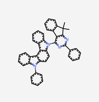 CC1(C)c2ccccc2-c2c(-n3c4ccccc4c4c5c6ccccc6n(-c6ccccc6)c5ccc43)nc(-c3ccccc3)nc21